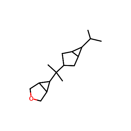 CC(C)C1C2CC(C(C)(C)C3C4COCC43)CC21